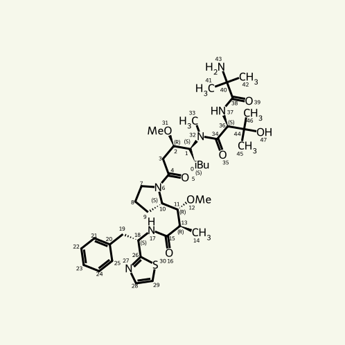 CC[C@H](C)[C@@H]([C@@H](CC(=O)N1CCC[C@H]1[C@H](OC)[C@@H](C)C(=O)N[C@@H](Cc1ccccc1)c1nccs1)OC)N(C)C(=O)[C@@H](NC(=O)C(C)(C)N)C(C)(C)O